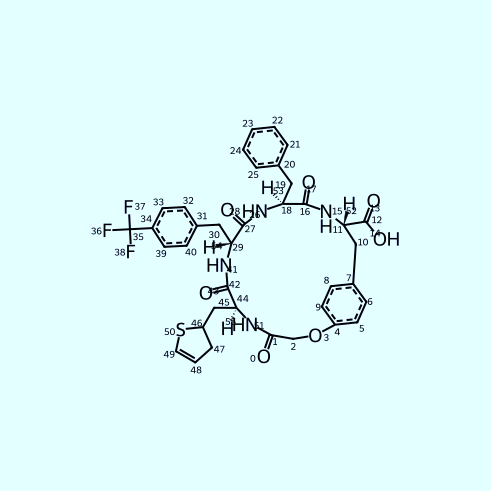 O=C1COc2ccc(cc2)C[C@@H](C(=O)O)NC(=O)[C@H](Cc2ccccc2)NC(=O)[C@@H](Cc2ccc(C(F)(F)F)cc2)NC(=O)[C@H](CC2CC=CS2)N1